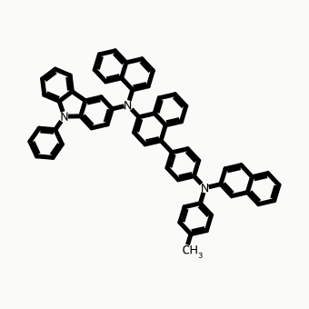 Cc1ccc(N(c2ccc(-c3ccc(N(c4ccc5c(c4)c4ccccc4n5-c4ccccc4)c4cccc5ccccc45)c4ccccc34)cc2)c2ccc3ccccc3c2)cc1